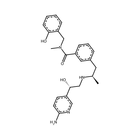 C[C@H](Cc1cccc(C(=O)N(C)Cc2ccccc2O)c1)NC[C@@H](O)c1ccc(N)nc1